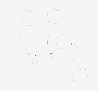 O=C1c2c(OCc3ccccc3)c(=O)ccn2N2CN1C1(/C=C/COc3ccccc3[C@@H]2c2ccccc2)CC1